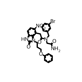 NC(=O)CN(Cc1cccc(Br)c1)C(=O)Cc1c([N+](=O)[O-])ccc2[nH]c(=O)n(CCCOc3ccccc3)c12